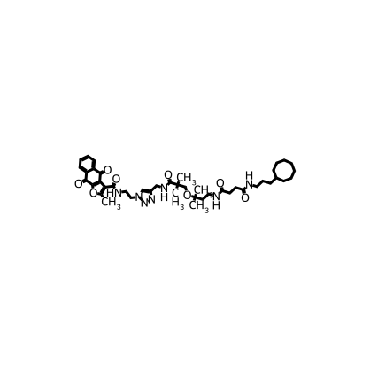 Cc1oc2c(c1C(=O)NCCn1cc(CNC(=O)C(C)(C)COC(C)(C)CCNC(=O)CCC(=O)NCCCC3CCCCCCC3)nn1)C(=O)c1ccccc1C2=O